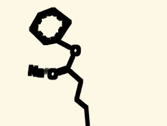 O=C([O-])CCCC(=O)Oc1ccccc1.[Na+]